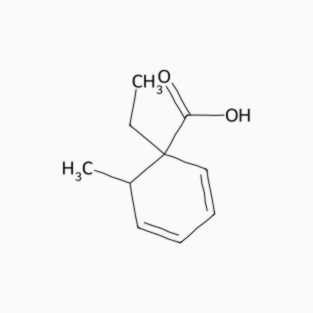 CCC1(C(=O)O)C=CC=CC1C